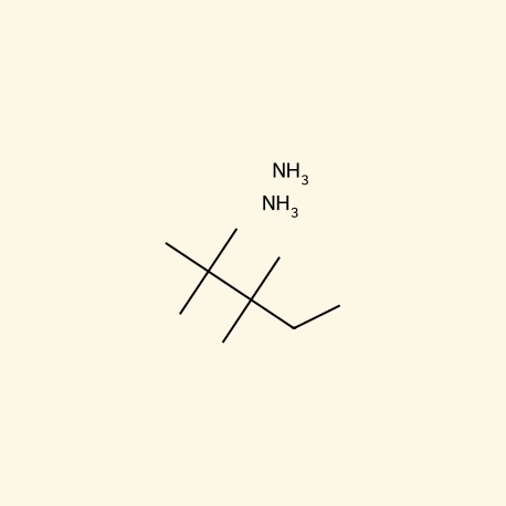 CCC(C)(C)C(C)(C)C.N.N